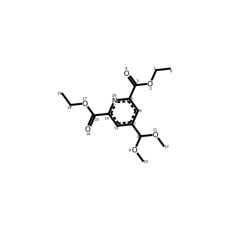 CCOC(=O)c1cc(C(OC)OC)cc(C(=O)OCC)n1